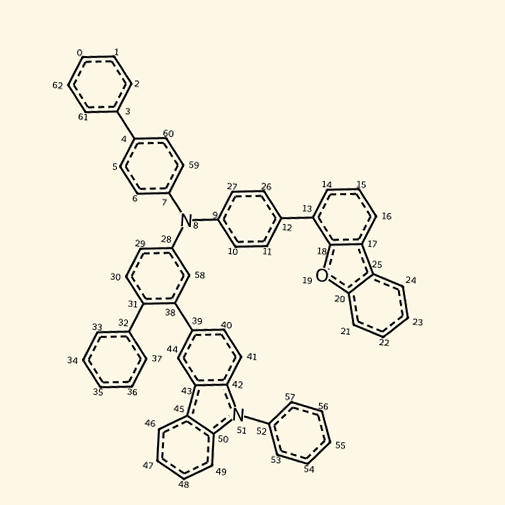 c1ccc(-c2ccc(N(c3ccc(-c4cccc5c4oc4ccccc45)cc3)c3ccc(-c4ccccc4)c(-c4ccc5c(c4)c4ccccc4n5-c4ccccc4)c3)cc2)cc1